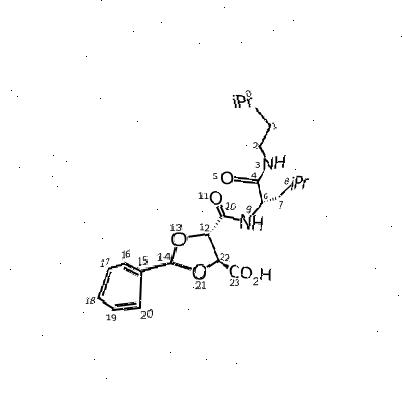 CC(C)CCNC(=O)[C@H](CC(C)C)NC(=O)[C@H]1OC(c2ccccc2)O[C@@H]1C(=O)O